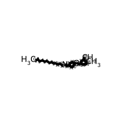 CCCCCCCCCCCCCCN=Cc1ccc(OCc2ccc(C)c(C)c2)cc1